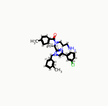 Cc1ccc(C(=O)N(CCCN)[C@@H](c2nc(-c3cccc(Cl)c3)cn2Cc2cccc(C)c2)C(C)C)cc1